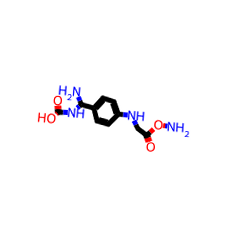 NOC(=O)CNc1ccc(C(N)NC(=O)O)cc1